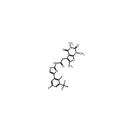 Cc1oc2c(c1CC(=O)Nc1nc(-c3cc(F)cc(C(F)(F)F)c3F)cs1)c(=O)n(C)c(=O)n2C